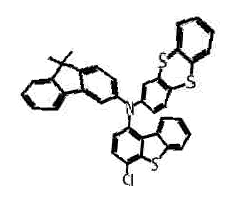 CC1(C)c2ccccc2-c2cc(N(c3ccc4c(c3)Sc3ccccc3S4)c3ccc(Cl)c4sc5ccccc5c34)ccc21